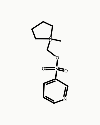 C[N+]1(COS(=O)(=O)c2cccnc2)CCCC1